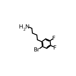 NCCCCc1cc(F)c(F)cc1Br